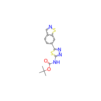 CC(C)(C)OC(=O)Nc1nnc(-c2ccc3cnsc3c2)s1